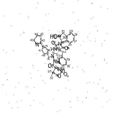 COC(=O)N[C@H](C(=O)NN(CC[C@]1(Cc2ccccc2)NC(=O)N([C@H]2c3ccccc3C[C@H]2O)C1=O)Cc1ccc(-c2ccccn2)cc1)C(C)(C)C